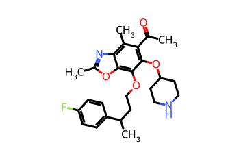 CC(=O)c1c(OC2CCNCC2)c(OCCC(C)c2ccc(F)cc2)c2oc(C)nc2c1C